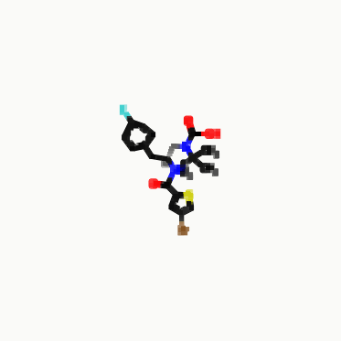 CC(C)(C)N(C[C@@H](Cc1ccc(F)cc1)NC(=O)c1cc(Br)cs1)C(=O)O